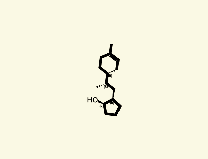 CC1=CC[C@H]([C@@H](C)C[C@H]2CCC[C@H]2O)CC1